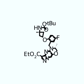 CCOC(=O)c1cnn2cc3c(nc12)N(Cc1cc(F)ccc1O[C@H]1C[C@@](C)(NC(=O)OC(C)(C)C)C1)[C@H](C)CO3